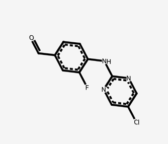 O=Cc1ccc(Nc2ncc(Cl)cn2)c(F)c1